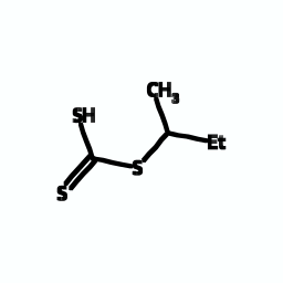 CCC(C)SC(=S)S